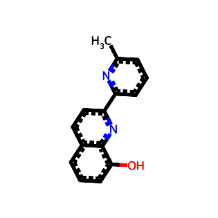 Cc1cccc(-c2ccc3cccc(O)c3n2)n1